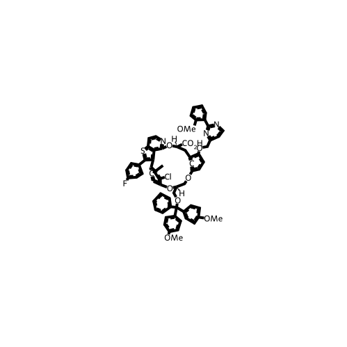 COc1ccc(C(OC[C@@H]2COc3ccc(OCc4ccnc(-c5ccccc5OC)n4)c(c3)C[C@H](C(=O)O)Oc3nccc4sc(-c5ccc(F)cc5)c(c34)-c3ccc(c(Cl)c3C)O2)(c2ccccc2)c2ccc(OC)cc2)cc1